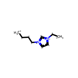 CCCC[n+]1ccn(CC)c1